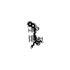 CCCCC(C=O)(CCCC)NC(=N)NCCCNC(=O)C1CCc2ccccc2C1